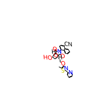 Cc1sc(-c2ccccn2)nc1OCC[C@]12C[C@H](O)[C@](C)(O1)[C@@H]1C(=O)N(c3ccc(C#N)c4ccccc34)C(=O)[C@@H]12